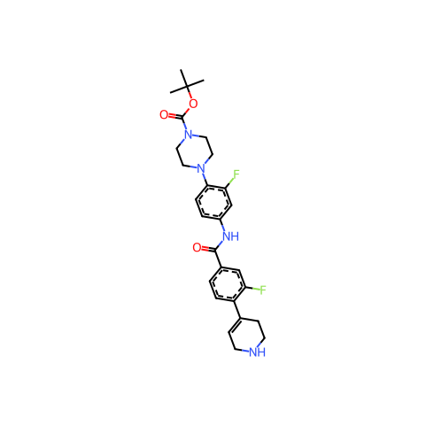 CC(C)(C)OC(=O)N1CCN(c2ccc(NC(=O)c3ccc(C4=CCNCC4)c(F)c3)cc2F)CC1